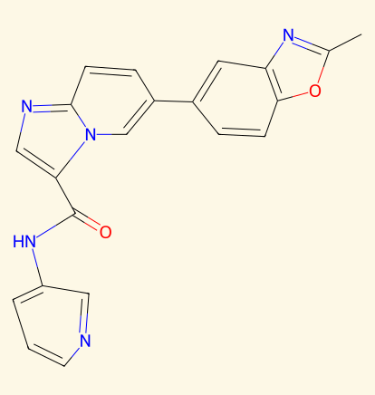 Cc1nc2cc(-c3ccc4ncc(C(=O)Nc5cccnc5)n4c3)ccc2o1